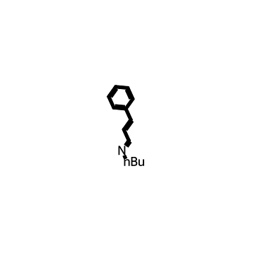 CCCCN=CC=Cc1ccccc1